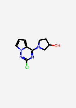 OC1CCN(c2nc(Cl)nn3cccc23)C1